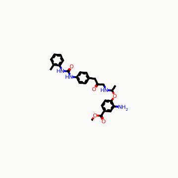 COC(=O)c1ccc(OC(C)NCC(=O)Cc2ccc(NC(=O)Nc3ccccc3C)cc2)c(N)c1